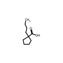 CCCCC1(C(=O)O)CCCC1